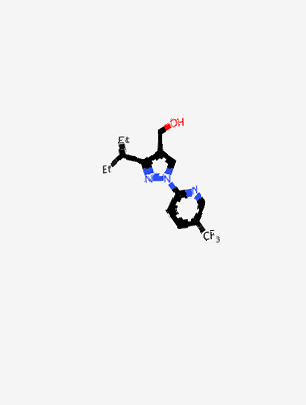 CCC(CC)c1nn(-c2ccc(C(F)(F)F)cn2)cc1CO